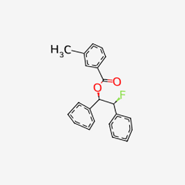 Cc1cccc(C(=O)O[C@H](c2ccccc2)[C@@H](F)c2ccccc2)c1